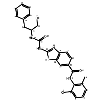 Cc1cccc(Cl)c1NC(=O)c1ccc2nc(NC(=O)NC(CO)Cc3ccccc3)sc2c1